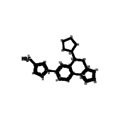 O=C(O)c1cnn(-c2ncc3c(n2)N(C2CCCC2)Cc2nncn2-3)c1